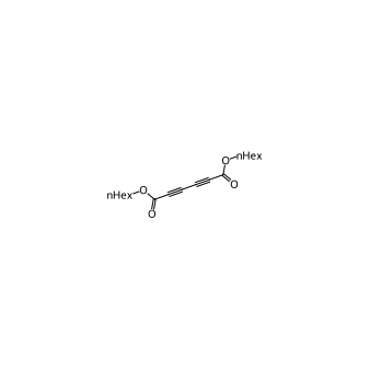 CCCCCCOC(=O)C#CC#CC(=O)OCCCCCC